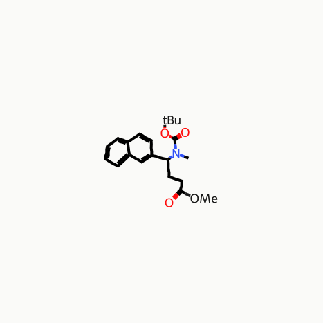 COC(=O)CCC(c1ccc2ccccc2c1)N(C)C(=O)OC(C)(C)C